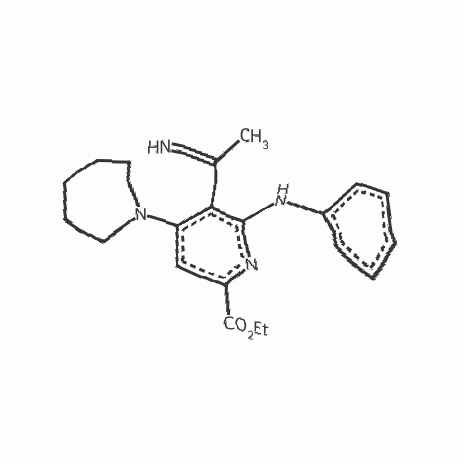 CCOC(=O)c1cc(N2CCCCC2)c(C(C)=N)c(Nc2ccccc2)n1